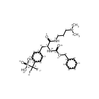 CN(C)CCCNC(=O)[C@H](Cc1ccc(C(F)(F)P(=O)(O)O)cc1)NC(=O)OCc1ccccc1